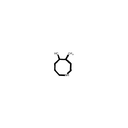 CC1CCNCCCC1O